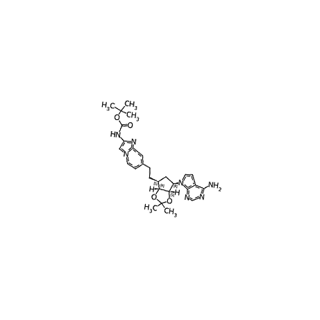 CC(C)(C)OC(=O)Nc1cn2ccc(CC[C@H]3C[C@@H](n4ccc5c(N)ncnc54)[C@@H]4OC(C)(C)O[C@H]34)cc2n1